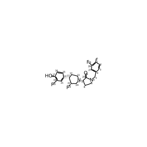 Cc1ccc(CN2CC[C@H](N3CC[C@@H](c4ccc(O)c(F)c4)[C@H](F)C3)C2=O)cc1F